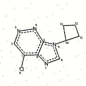 Clc1cnnc2c1ncn2C1CCC1